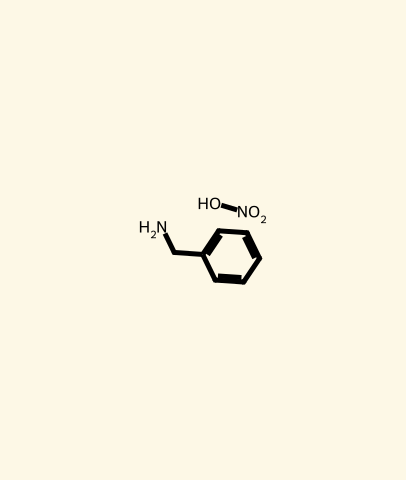 NCc1ccccc1.O=[N+]([O-])O